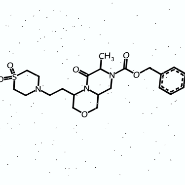 CC1C(=O)N2C(CCN3CCS(=O)(=O)CC3)COCC2CN1C(=O)OCc1ccccc1